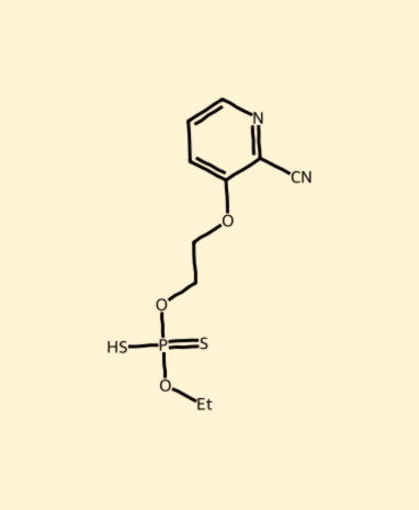 CCOP(=S)(S)OCCOc1cccnc1C#N